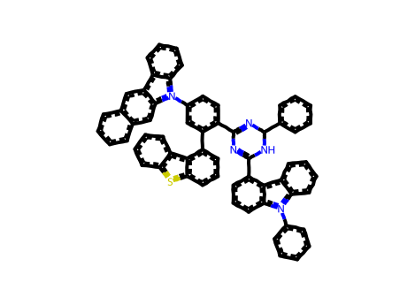 c1ccc(C2N=C(c3ccc(-n4c5ccccc5c5cc6ccccc6cc54)cc3-c3cccc4sc5ccccc5c34)N=C(c3cccc4c3c3ccccc3n4-c3ccccc3)N2)cc1